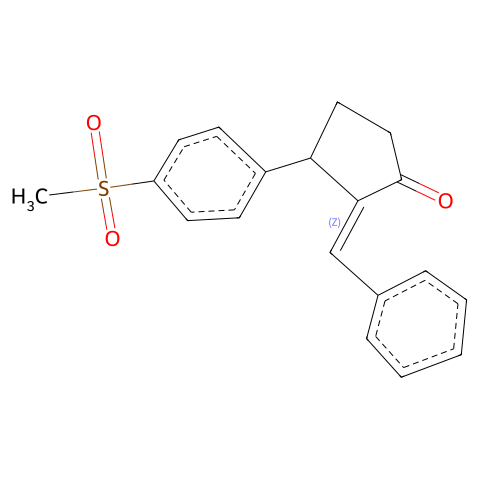 CS(=O)(=O)c1ccc(C2CCC(=O)/C2=C\c2ccccc2)cc1